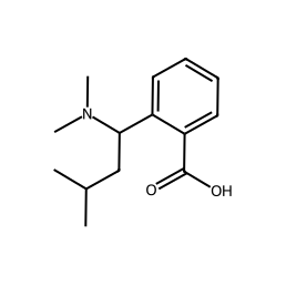 CC(C)CC(c1ccccc1C(=O)O)N(C)C